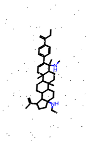 C=C(CC)c1ccc(C2=CCC3(C)C(CCC4(C)C5CCC6(NCC)CCC(C(=C)C)C6C5CCC43)C2(C)NC)cc1